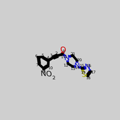 O=C(C#Cc1cccc([N+](=O)[O-])c1)N1CCN(c2nccs2)CC1